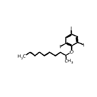 CCCCCCCCC(C)Oc1c(I)cc(I)cc1I